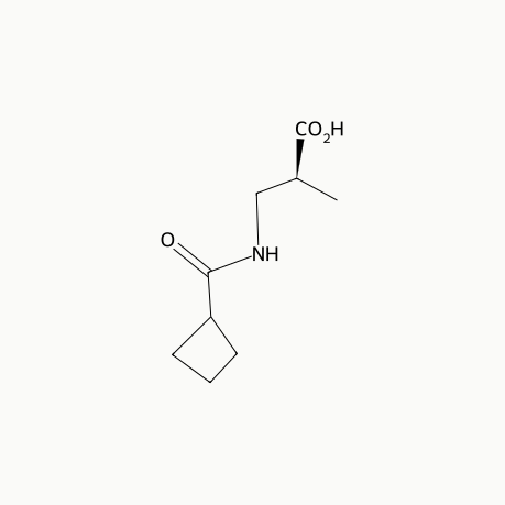 C[C@@H](CNC(=O)C1CCC1)C(=O)O